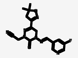 CC1(C)CC(C2=NN(CC#N)C(=O)N(/N=C/c3cncc(F)c3)C2)=NO1